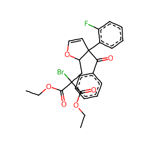 CCOC(=O)C(Br)(CC1OC=CC1(C(=O)c1ccccc1)c1ccccc1F)C(=O)OCC